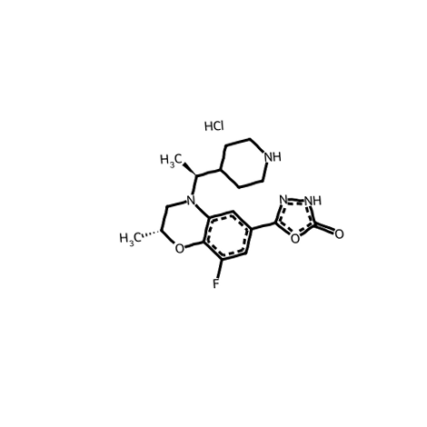 C[C@@H]1CN([C@@H](C)C2CCNCC2)c2cc(-c3n[nH]c(=O)o3)cc(F)c2O1.Cl